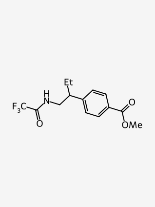 CCC(CNC(=O)C(F)(F)F)c1ccc(C(=O)OC)cc1